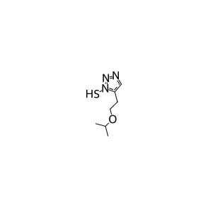 CC(C)OCCc1cnnn1S